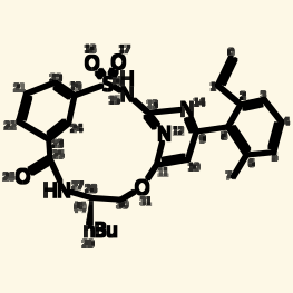 C=Cc1cccc(C)c1-c1cc2nc(n1)NS(=O)(=O)c1cccc(c1)C(=O)N[C@H](CCCC)CO2